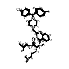 Cc1ccc(C(c2ccc(Cl)cc2)N2CCN(Cc3nc(N[C@@H](CCCN(C)C)C(=O)OCC(C)C)c4ccccc4n3)CC2)cc1